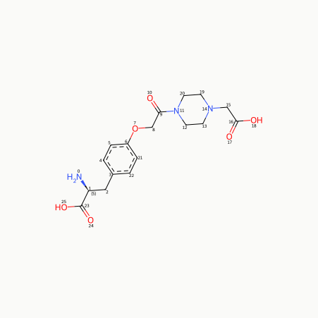 N[C@@H](Cc1ccc(OCC(=O)N2CCN(CC(=O)O)CC2)cc1)C(=O)O